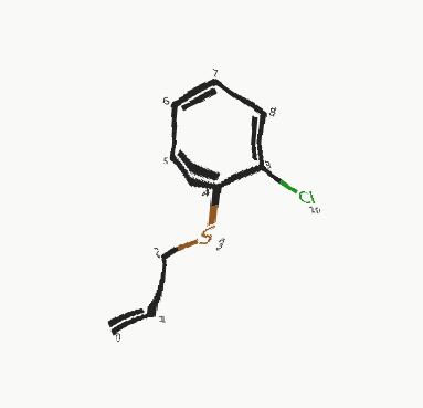 C=C[CH]Sc1ccccc1Cl